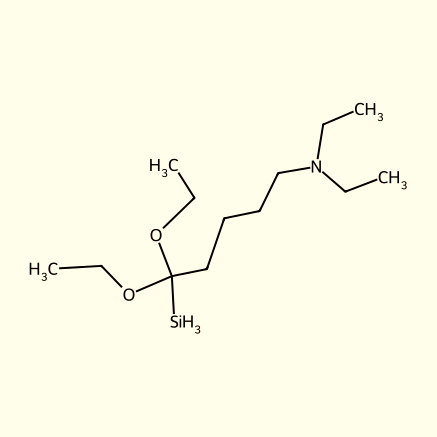 CCOC([SiH3])(CCCCN(CC)CC)OCC